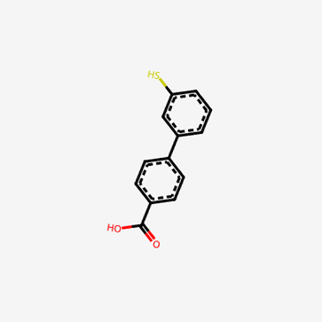 O=C(O)c1ccc(-c2cccc(S)c2)cc1